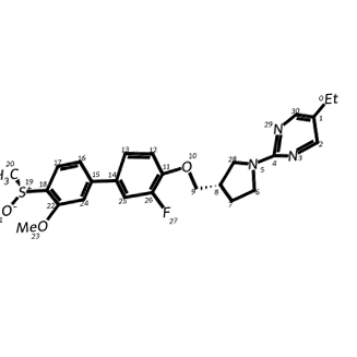 CCc1cnc(N2CC[C@H](COc3ccc(-c4ccc([S@+](C)[O-])c(OC)c4)cc3F)C2)nc1